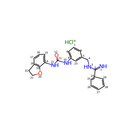 Cl.N=C(NCc1cccc(NC(=O)Nc2cccc3c2OCC3)c1)c1ccccc1